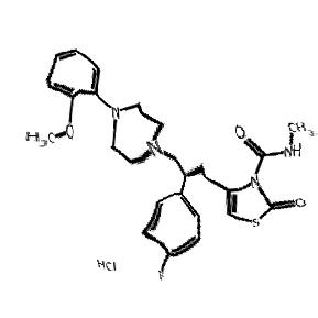 CNC(=O)n1c(CC(c2ccc(F)cc2)N2CCN(c3ccccc3OC)CC2)csc1=O.Cl